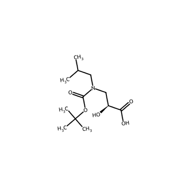 CC(C)CN(C[C@H](O)C(=O)O)C(=O)OC(C)(C)C